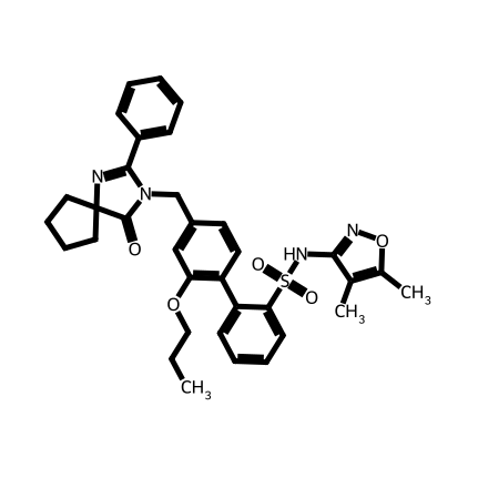 CCCOc1cc(CN2C(=O)C3(CCCC3)N=C2c2ccccc2)ccc1-c1ccccc1S(=O)(=O)Nc1noc(C)c1C